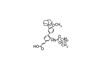 COc1ccc(-c2ccc(C=CC(=O)O)cc2CNC(=O)OC(C)(C)C)cc1C12CC3CC(CC(C3)C1)C2